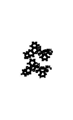 NS(=O)(=O)c1ccccc1S(=O)(=O)NC(=O)c1ccccc1-c1ccc2cccc-2o1.NS(=O)(=O)c1ccccc1S(=O)(=O)NC(=O)c1ccccc1-c1ccc2cccc-2s1